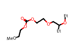 CCOC(CC)COCCOC(=O)OCCOC